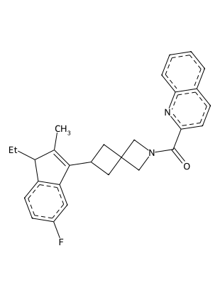 CCC1C(C)=C(C2CC3(C2)CN(C(=O)c2ccc4ccccc4n2)C3)c2cc(F)ccc21